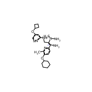 Cc1nc(/C(N)=C(\CNc2cc(OC3CCC3)cnn2)N(C)N)ccc1OC1CCCCC1